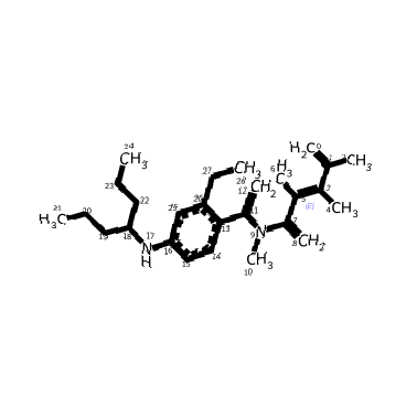 C=C(C)/C(C)=C(\C)C(=C)N(C)C(=C)c1ccc(NC(CCC)CCC)cc1CC